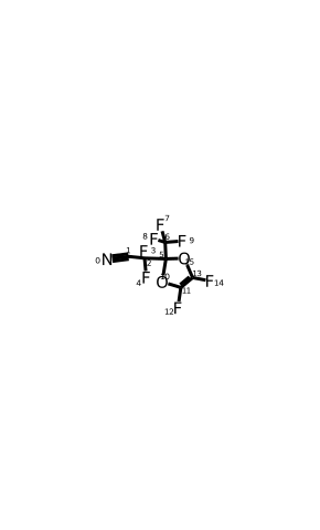 N#CC(F)(F)C1(C(F)(F)F)OC(F)=C(F)O1